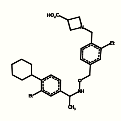 CCc1cc(CONC(C)c2ccc(C3CCCCC3)c(CC)c2)ccc1CN1CC(C(=O)O)C1